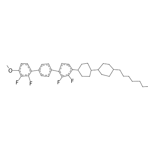 CCCCCCCC1CCC(C2CCC(c3ccc(-c4ccc(-c5ccc(OC)c(F)c5F)cc4)c(F)c3F)CC2)CC1